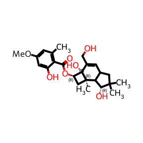 COc1cc(C)c(C(=O)O[C@@H]2C[C@]3(C)C4C(C=C(CO)[C@]23O)CC(C)(C)[C@@H]4O)c(O)c1